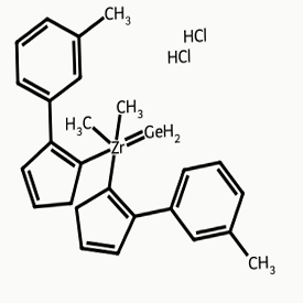 Cc1cccc(C2=[C]([Zr]([CH3])([CH3])(=[GeH2])[C]3=C(c4cccc(C)c4)C=CC3)CC=C2)c1.Cl.Cl